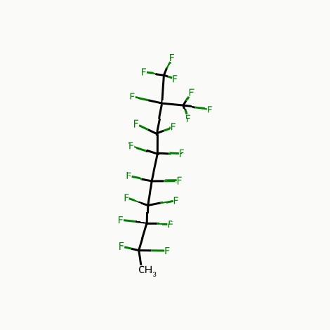 CC(F)(F)C(F)(F)C(F)(F)C(F)(F)C(F)(F)C(F)(F)C(F)(C(F)(F)F)C(F)(F)F